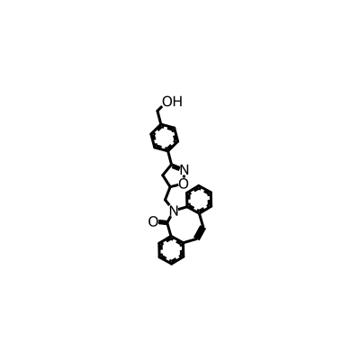 O=C1c2ccccc2C#Cc2ccccc2N1CC1CC(c2ccc(CO)cc2)=NO1